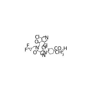 CC1(C(=O)O)CCC(n2ncc(C(=O)N(CC(=O)c3c(Cl)cncc3Cl)C[C@H]3CC3(F)F)c2C(F)(F)F)CC1